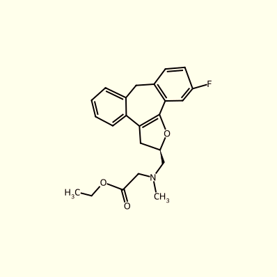 CCOC(=O)CN(C)C[C@H]1CC2=C(O1)c1cc(F)ccc1Cc1ccccc12